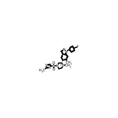 Cc1nc(S(=O)(=O)N2CCN(C)[C@@H](c3cc4cnn(-c5ccc(F)cc5)c4cc3C)C2)cs1